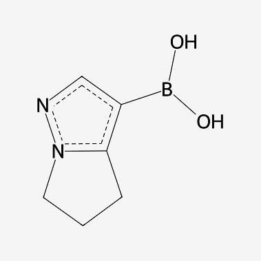 OB(O)c1cnn2c1CCC2